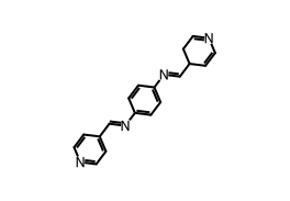 C1=CC(/C=N/c2ccc(/N=C/c3ccncc3)cc2)CC=N1